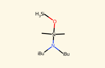 CCC(C)N(C(C)CC)[Si](C)(C)O[SiH3]